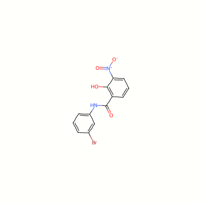 O=C(Nc1cccc(Br)c1)c1cccc([N+](=O)[O-])c1O